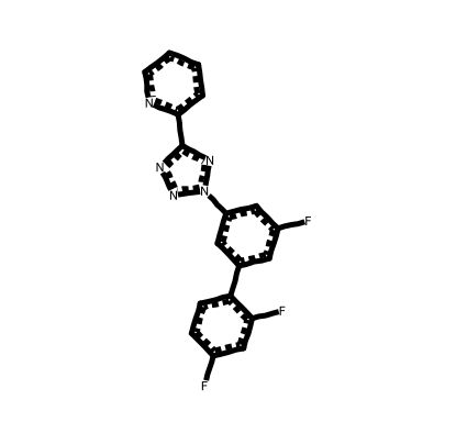 Fc1cc(-c2ccc(F)cc2F)cc(-n2nnc(-c3ccccn3)n2)c1